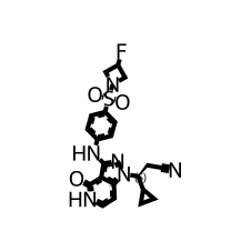 N#CC[C@@H](C1CC1)n1nc(Nc2ccc(S(=O)(=O)N3CC(F)C3)cc2)c2c(=O)[nH]ccc21